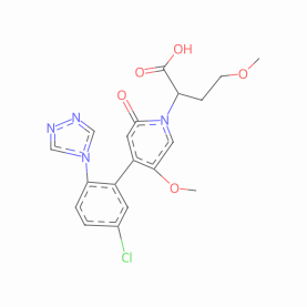 COCCC(C(=O)O)n1cc(OC)c(-c2cc(Cl)ccc2-n2cnnc2)cc1=O